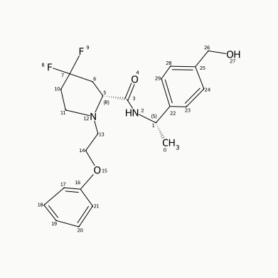 C[C@H](NC(=O)[C@H]1CC(F)(F)CCN1CCOc1ccccc1)c1ccc(CO)cc1